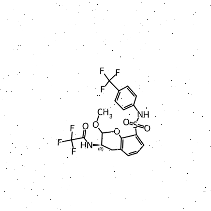 COC1Oc2c(cccc2S(=O)(=O)Nc2ccc(C(F)(F)F)cc2)C[C@H]1NC(=O)C(F)(F)F